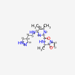 Cc1nc(C(=O)NC(C)c2ncco2)nc(NCCC2C=NNC2)c1C